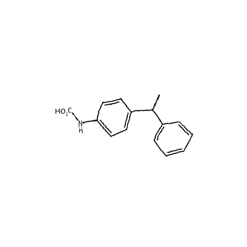 CC(c1ccccc1)c1ccc(NC(=O)O)cc1